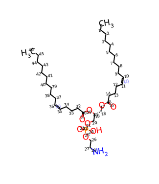 CCCCCCCCCC/C=C\CCCC(=O)OC[C@H](COP(=O)(O)OCCN)OC(=O)CCC/C=C\CCCCCCCCCC